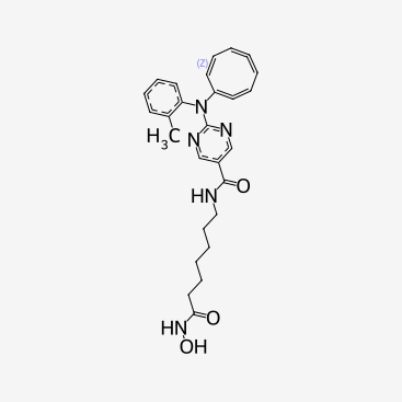 Cc1ccccc1N(C1=C=CC=C=C/C=C\1)c1ncc(C(=O)NCCCCCCC(=O)NO)cn1